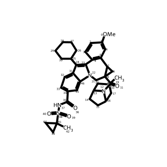 COc1ccc2c(c1)C1CC1(C(=O)N1C3CCC1CN(C)C3)Cn1c-2c(C2CCCCC2)c2ccc(C(=O)NS(=O)(=O)C3(C)CC3)cc21